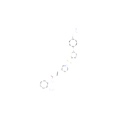 CN(C)Cc1ccc(-c2ccc(S(=O)(=O)n3ccc(/C=C/C(=O)Nc4ccccc4N)c3)s2)cc1